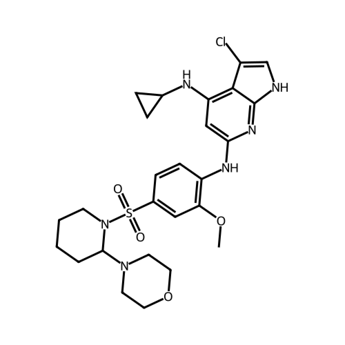 COc1cc(S(=O)(=O)N2CCCCC2N2CCOCC2)ccc1Nc1cc(NC2CC2)c2c(Cl)c[nH]c2n1